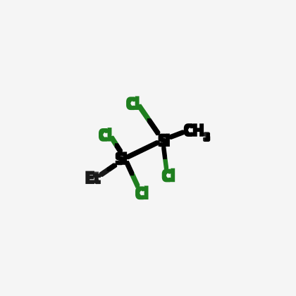 CC[Si](Cl)(Cl)[Si](C)(Cl)Cl